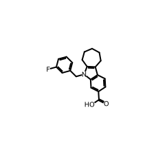 O=C(O)c1ccc2c3c(n(Cc4cccc(F)c4)c2c1)CCCCC3